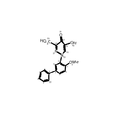 COc1ccc(-c2ccccc2)cc1-n1cc(O)c(=O)c(C(=O)O)n1